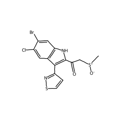 C[S+]([O-])CC(=O)c1[nH]c2cc(Br)c(Cl)cc2c1-c1ccsn1